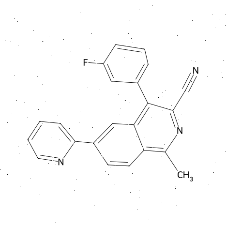 Cc1nc(C#N)c(-c2cccc(F)c2)c2cc(-c3ccccn3)ccc12